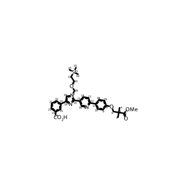 COC(=O)C(C)(C)COc1ccc(-c2ccc(-c3nc(-c4cccc(C(=O)O)c4)cn3COCC[Si](C)(C)C)cn2)cc1